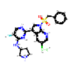 Cl.O=S(=O)(Cc1ccccc1)n1cc(-c2ncc(F)c(NC3CCNC3)n2)c2cc(Cl)cnc21